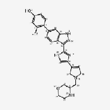 CCc1cc(O)ccc1-c1ccc2c(-c3nc(C4=CCN(C[C@@H]5COCCN5)C4)c[nH]3)n[nH]c2c1